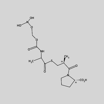 CC(NC(=O)OCON(O)O)C(=O)SC[C@@H](C)C(=O)N1CCC[C@H]1C(=O)O